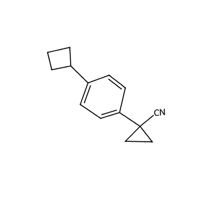 N#CC1(c2ccc(C3CCC3)cc2)CC1